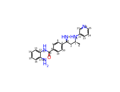 C[C@@H](CC(=N)c1ccc(C(=O)Nc2ccccc2N)cc1)Nc1cccnc1